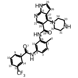 Cc1ccc(NC(=O)c2cccc(C(F)(F)F)c2)cc1NC(=O)c1cnc2[nH]ccc2c1N1CCNCC1